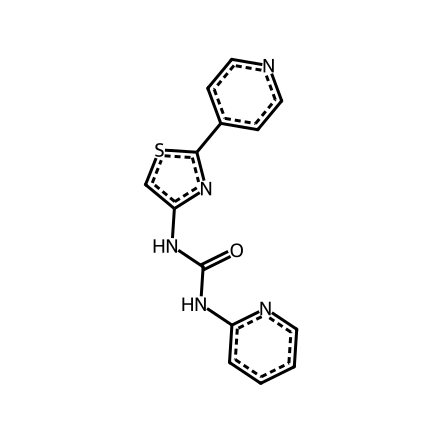 O=C(Nc1ccccn1)Nc1csc(-c2ccncc2)n1